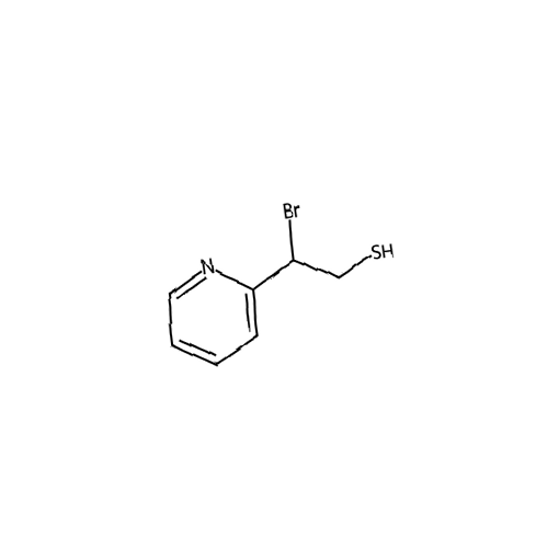 SCC(Br)c1ccccn1